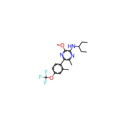 CCC(CC)Nc1nc(C)c(-c2ccc(OC(F)(F)F)cc2C)nc1OC